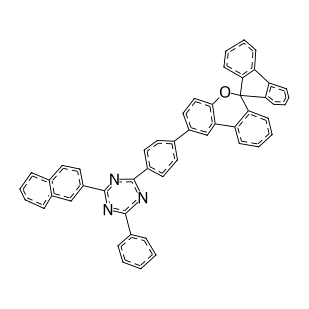 c1ccc(-c2nc(-c3ccc(-c4ccc5c(c4)-c4ccccc4C4(O5)c5ccccc5-c5ccccc54)cc3)nc(-c3ccc4ccccc4c3)n2)cc1